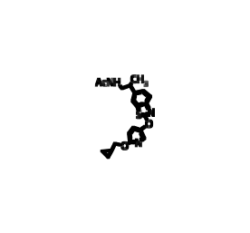 CC(=O)NCC(C)c1ccc2nc(Oc3ccc(OCC4CC4)nc3)sc2c1